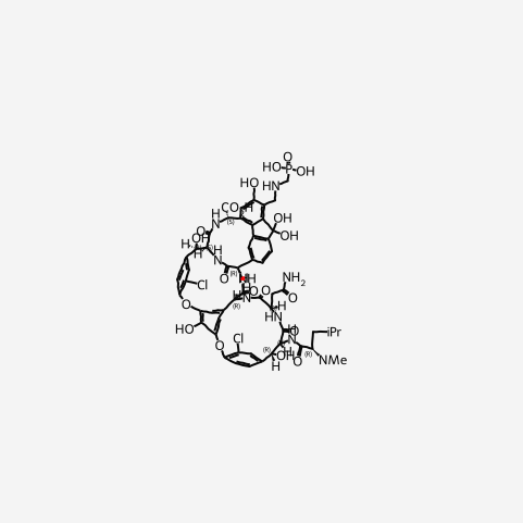 CN[C@H](CC(C)C)C(=O)N[C@H]1C(=O)N[C@@H](CC(N)=O)C(=O)N[C@H]2C(=O)N[C@H]3C(=O)N[C@H](C(=O)N[C@H](C(=O)O)c4cc(O)c(CNCP(=O)(O)O)c5c4-c4cc3ccc4C5(O)O)[C@H](O)c3ccc(c(Cl)c3)Oc3cc2cc(c3O)Oc2ccc(cc2Cl)[C@H]1O